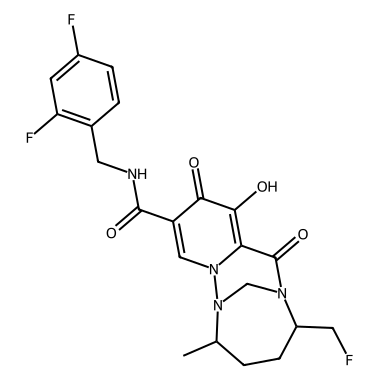 CC1CCC(CF)N2CN1n1cc(C(=O)NCc3ccc(F)cc3F)c(=O)c(O)c1C2=O